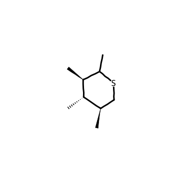 CC1SC[C@@H](C)[C@H](C)[C@H]1C